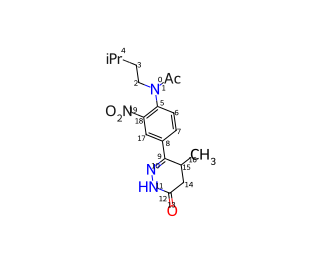 CC(=O)N(CCC(C)C)c1ccc(C2=NNC(=O)CC2C)cc1[N+](=O)[O-]